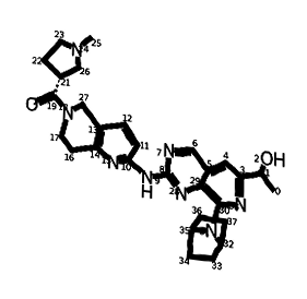 CC(O)c1cc2cnc(Nc3ccc4c(n3)CCN(C(=O)[C@@H]3CCN(C)C3)C4)nc2c(N2C3CCC2CC3)n1